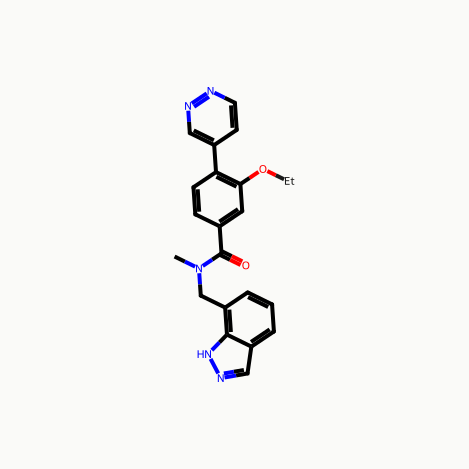 CCOc1cc(C(=O)N(C)Cc2cccc3cn[nH]c23)ccc1-c1ccnnc1